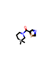 C[Si]1(C)CCCN(C(=O)c2cncs2)C1